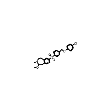 COC1Cc2ccc(S(=O)(=O)c3ccc(COc4ccc(Cl)cc4)cc3)cc2CCN1C